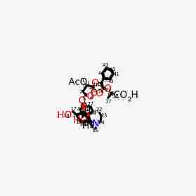 CC(=O)O[C@@H](CC(=O)OC1=CC[C@@]2(O)[C@H]3Cc4ccc(CO)c5c4[C@@]2(CCCN3C)[C@H]1O5)C(=O)O[C@H](C(=O)O[C@@H](C)C(=O)O)c1ccccc1